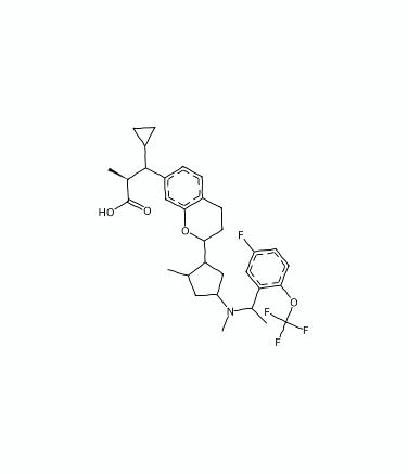 CC1CC(N(C)C(C)c2cc(F)ccc2OC(F)(F)F)CC1C1CCc2ccc(C(C3CC3)[C@H](C)C(=O)O)cc2O1